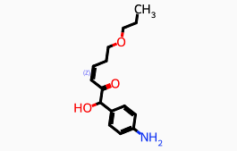 CCCOCC/C=C\C(=O)C(O)c1ccc(N)cc1